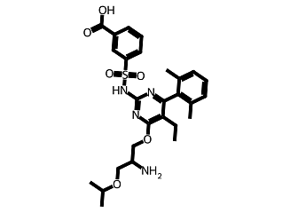 CCc1c(OCC(N)COC(C)C)nc(NS(=O)(=O)c2cccc(C(=O)O)c2)nc1-c1c(C)cccc1C